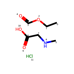 CCOC=O.CNCC(=O)O.Cl